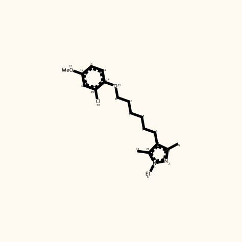 CCn1nc(C)c(CCCCCCOc2ccc(OC)cc2Cl)c1C